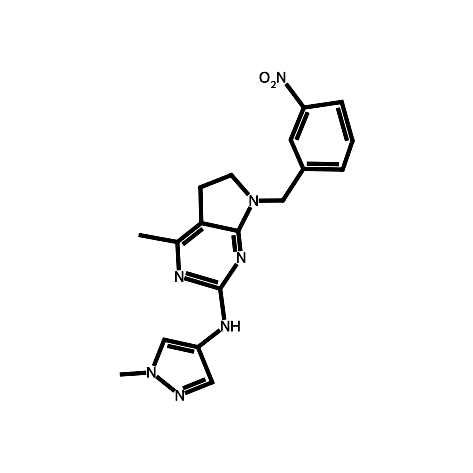 Cc1nc(Nc2cnn(C)c2)nc2c1CCN2Cc1cccc([N+](=O)[O-])c1